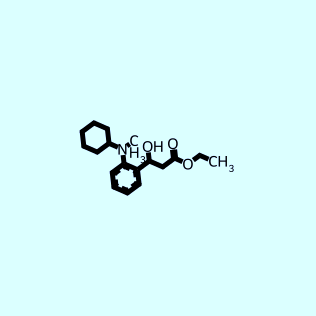 CCOC(=O)CC(O)c1ccccc1N(C)C1CCCCC1